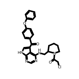 O=C(c1ccc(Oc2ccccc2)cc1)c1c[nH]c2ncnc(NCC3CCCCN3C(=O)CCl)c12